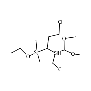 CCO[Si](C)(C)C(CCCl)[SiH](CCl)C(OC)OC